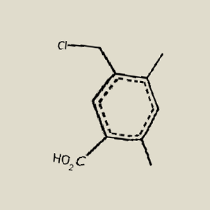 Cc1cc(C)c(C(=O)O)cc1CCl